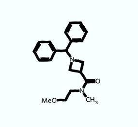 COCCN(C)C(=O)C1CN(C(c2ccccc2)c2ccccc2)C1